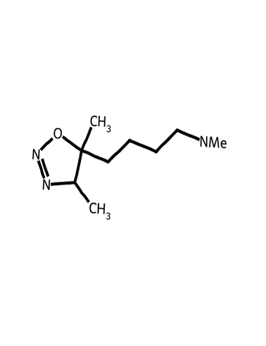 CNCCCCC1(C)ON=NC1C